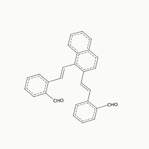 O=Cc1ccccc1/C=C/c1ccc2ccccc2c1/C=C/c1ccccc1C=O